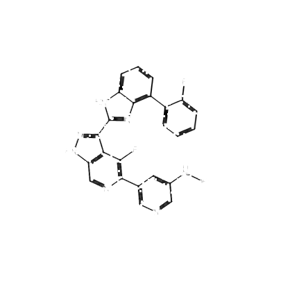 CC(C)Nc1cncc(-c2ncc3[nH]nc(-c4nc5c(-c6ccccc6F)cccc5[nH]4)c3c2F)c1